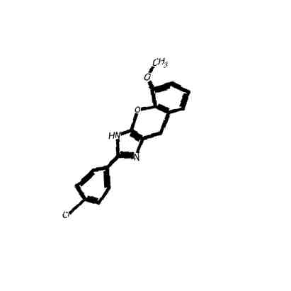 COc1cccc2c1Oc1[nH]c(-c3ccc(Cl)cc3)nc1C2